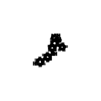 O=C1NCC[C@@]12Cc1cnc(Nc3ccc(N4CCNCC4)cn3)nc1N(C1CCCC1)C2=O